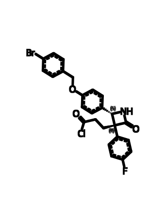 O=C(Cl)CC[C@]1(c2ccc(F)cc2)C(=O)N[C@H]1c1ccc(OCc2ccc(Br)cc2)cc1